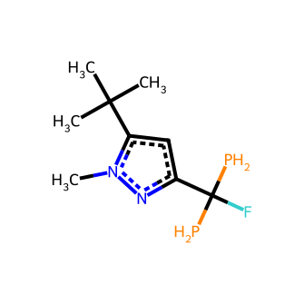 Cn1nc(C(F)(P)P)cc1C(C)(C)C